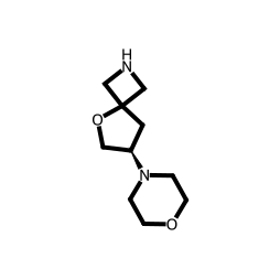 C1CN([C@H]2COC3(CNC3)C2)CCO1